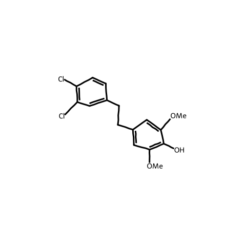 COc1cc(CCc2ccc(Cl)c(Cl)c2)cc(OC)c1O